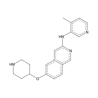 Cc1ccncc1Nc1cc2cc(OC3CCNCC3)ccc2cn1